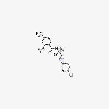 O=C(NS(=O)(=O)/C=C/c1ccc(Cl)cc1)c1ccc(C(F)(F)F)cc1C(F)(F)F